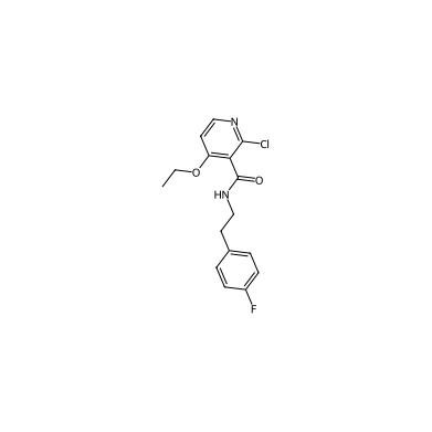 CCOc1ccnc(Cl)c1C(=O)NCCc1ccc(F)cc1